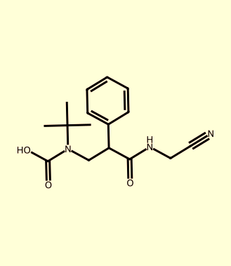 CC(C)(C)N(CC(C(=O)NCC#N)c1ccccc1)C(=O)O